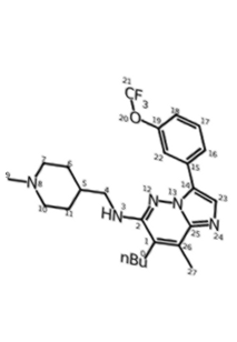 CCCCc1c(NCC2CCN(C)CC2)nn2c(-c3cccc(OC(F)(F)F)c3)cnc2c1C